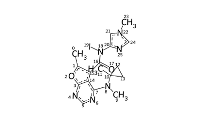 Cc1oc2ncnc(N(C)C3(C)CC3)c2c1C(=O)N(I)c1cn(C)cn1